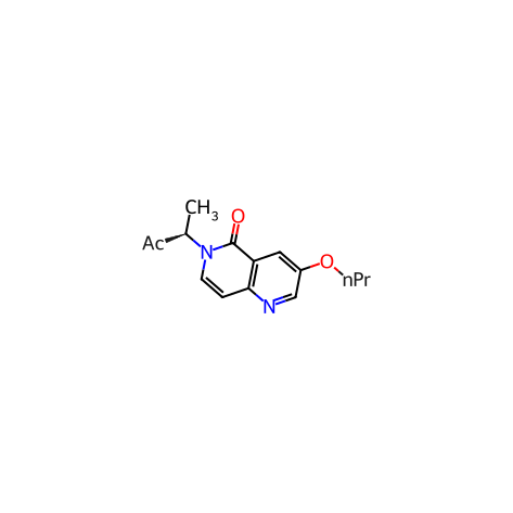 CCCOc1cnc2ccn([C@H](C)C(C)=O)c(=O)c2c1